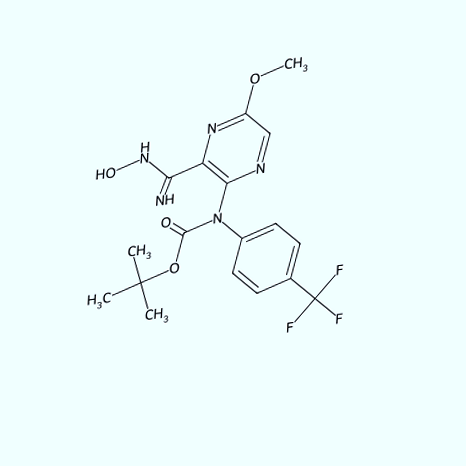 COc1cnc(N(C(=O)OC(C)(C)C)c2ccc(C(F)(F)F)cc2)c(C(=N)NO)n1